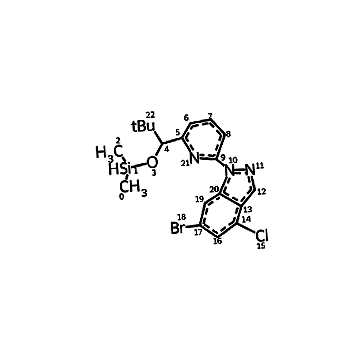 C[SiH](C)OC(c1cccc(-n2ncc3c(Cl)cc(Br)cc32)n1)C(C)(C)C